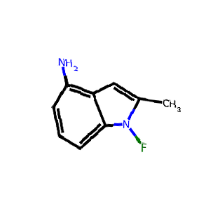 Cc1cc2c(N)cccc2n1F